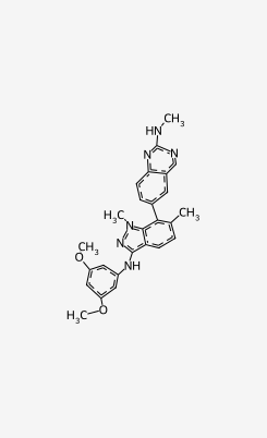 CNc1ncc2cc(-c3c(C)ccc4c(Nc5cc(OC)cc(OC)c5)nn(C)c34)ccc2n1